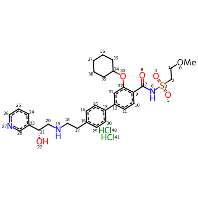 COCCS(=O)(=O)NC(=O)c1ccc(-c2ccc(CCNC[C@H](O)c3cccnc3)cc2)cc1OC1CCCCC1.Cl.Cl